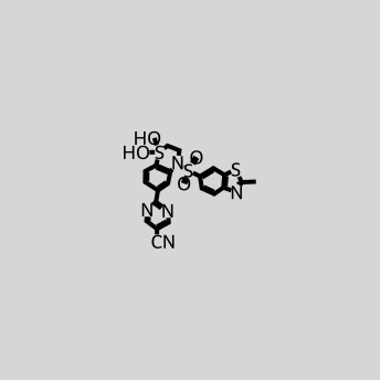 Cc1nc2ccc(S(=O)(=O)N3CCS(O)(O)c4ccc(-c5ncc(C#N)cn5)cc43)cc2s1